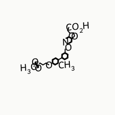 Cc1cc(OCCCS(C)(=O)=O)ccc1-c1cccc(COc2cc3c(cn2)C(CC(=O)O)CO3)c1